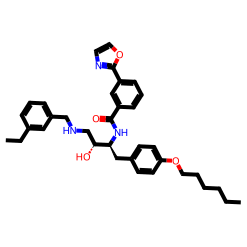 CCCCCCOc1ccc(C[C@H](NC(=O)c2cccc(-c3ncco3)c2)[C@H](O)CNCc2cccc(CC)c2)cc1